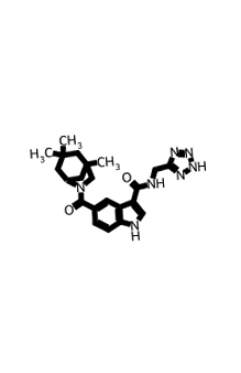 CC1(C)CC2CC(C)(CN2C(=O)c2ccc3[nH]cc(C(=O)NCc4nn[nH]n4)c3c2)C1